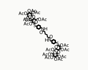 CC(=O)OC[C@H]1O[C@@H](Sc2ccc(NC(=O)CCCCC(=O)Nc3ccc(S[C@@H]4O[C@H](COC(C)=O)[C@@H](O[C@@H]5O[C@H](COC(C)=O)[C@@H](OC(C)=O)[C@H](OC(C)=O)[C@H]5OC(C)=O)[C@H](OC(C)=O)[C@H]4OC(C)=O)cc3)cc2)[C@H](OC(C)=O)[C@@H](OC(C)=O)[C@@H]1O[C@@H]1O[C@H](COC(C)=O)[C@@H](OC(C)=O)[C@H](OC(C)=O)[C@H]1OC(C)=O